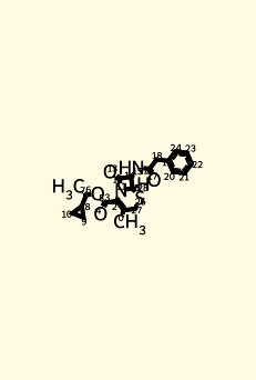 CC1=C(C(=O)OC(C)C2CC2)N2C(=O)C(NC(=O)Cc3ccccc3)[C@@H]2SC1